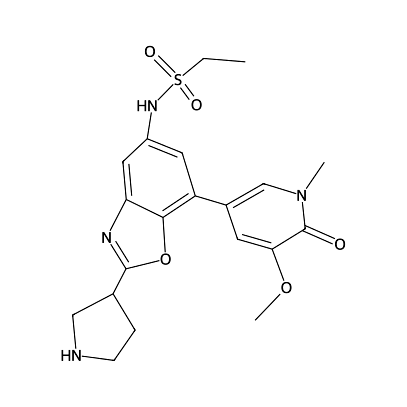 CCS(=O)(=O)Nc1cc(-c2cc(OC)c(=O)n(C)c2)c2oc(C3CCNC3)nc2c1